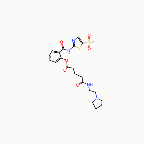 CS(=O)(=O)c1cnc(NC(=O)c2ccccc2OC(=O)CCCC(=O)NCCN2CCCC2)s1